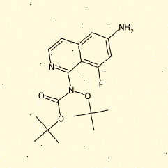 CC(C)(C)OC(=O)N(OC(C)(C)C)c1nccc2cc(N)cc(F)c12